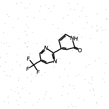 O=c1cc(-c2ncc(C(F)(F)F)cn2)cc[nH]1